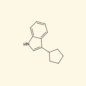 c1ccc2c([C]3CCCC3)c[nH]c2c1